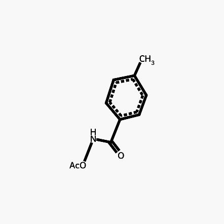 CC(=O)ONC(=O)c1ccc(C)cc1